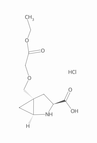 CCOC(=O)COC[C@]12C[C@@H](C(=O)O)N[C@H]1C2.Cl